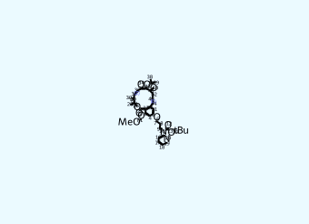 COCOc1cc(OCCCN(C(=O)OC(C)(C)C)c2ccccn2)cc2c1C(=O)OC(C)[C@H](C)/C=C\C(=O)C1OC(C)(C)OC1C/C=C/2